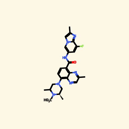 Cc1cnc2c(N3CC(C)N(C(=O)O)[C@@H](C)C3)ccc(C(=O)Nc3cc(F)c4nc(C)cn4c3)c2n1